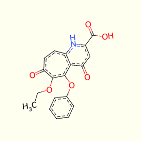 CCOc1c(Oc2ccccc2)c2c(=O)cc(C(=O)O)[nH]c2ccc1=O